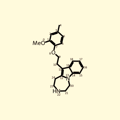 COc1cc(C)ccc1OCCc1c2n(c3ccccc13)CCNCC2